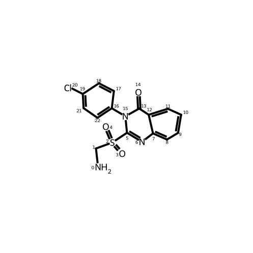 NCS(=O)(=O)c1nc2ccccc2c(=O)n1-c1ccc(Cl)cc1